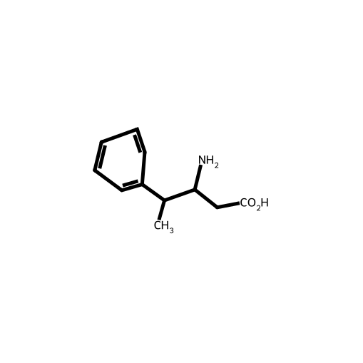 CC(c1ccccc1)C(N)CC(=O)O